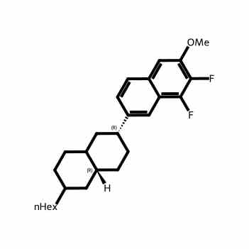 CCCCCCC1CCC2C[C@H](c3ccc4cc(OC)c(F)c(F)c4c3)CC[C@@H]2C1